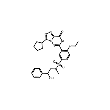 CCOc1ccc(S(=O)(=O)N(C)CC(O)c2ccccc2)cc1-c1nn2c(C3CCCC3)nnc2c(=O)[nH]1